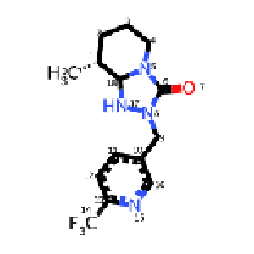 C[C@@H]1CCCN2C(=O)N(Cc3ccc(C(F)(F)F)nc3)NC12